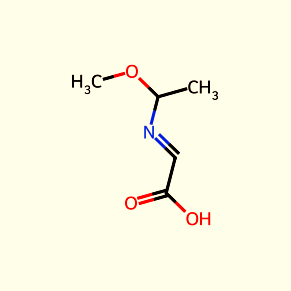 COC(C)N=CC(=O)O